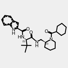 CC(C)(C)[C@H](NC(=O)c1cc2ccccc2[nH]1)C(=O)NC[C@@H]1CCCCN1C(=O)C1CCCCC1